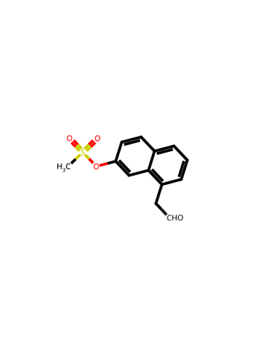 CS(=O)(=O)Oc1ccc2cccc(CC=O)c2c1